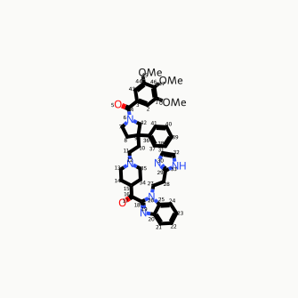 COc1cc(C(=O)N2CCC(CCN3CCC(C(=O)c4nc5ccccc5n4CCc4ncc[nH]4)CC3)(c3ccccc3)C2)cc(OC)c1OC